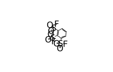 O=S(=O)(F)c1cccc(S(=O)(=O)F)c1S(=O)(=O)F